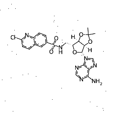 CC1(C)O[C@@H]2[C@H](O1)[C@@H](CNS(=O)(=O)c1ccc3nc(Cl)ccc3c1)O[C@H]2n1cnc2c(N)ncnc21